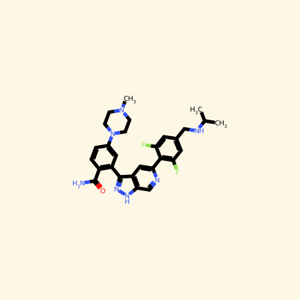 CC(C)NCc1cc(F)c(-c2cc3c(-c4cc(N5CCN(C)CC5)ccc4C(N)=O)n[nH]c3cn2)c(F)c1